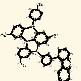 CC(C)(C)c1ccc(N2c3ccc(C(C)(C)C)cc3B3c4ccc(C(C)(C)C)cc4N(c4cccc(-c5cccc6oc7ccccc7c56)c4)c4cc(C(C)(C)C)cc2c43)cc1